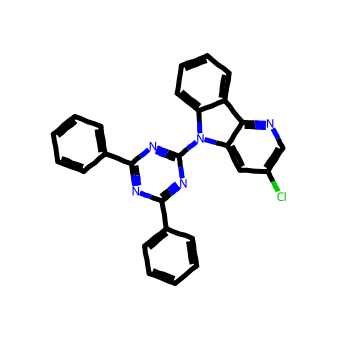 Clc1cnc2c3ccccc3n(-c3nc(-c4ccccc4)nc(-c4ccccc4)n3)c2c1